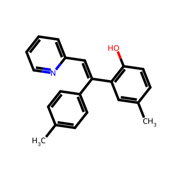 Cc1ccc(/C(=C\c2ccccn2)c2cc(C)ccc2O)cc1